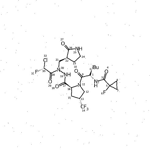 CC[C@H](C)[C@H](NC(=O)C1(F)CC1)C(=O)N1C[C@H](C(F)(F)F)C[C@H]1C(=O)NN(C[C@@H]1CCNC1=O)C(=O)[C@H](F)Cl